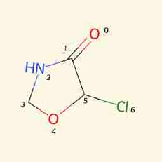 O=C1NCOC1Cl